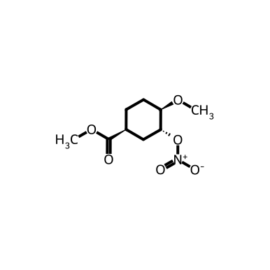 COC(=O)[C@H]1CC[C@@H](OC)[C@H](O[N+](=O)[O-])C1